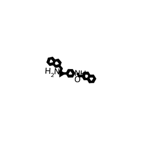 NC1(Cc2ccc3ccccc3c2)CC1c1ccc(NC(=O)c2ccc3ccccc3c2)cc1